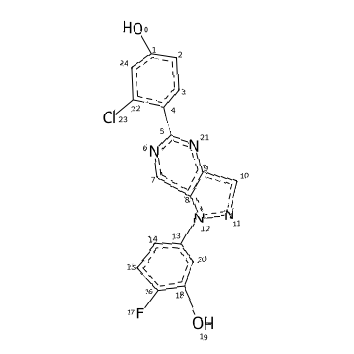 Oc1ccc(-c2ncc3c(cnn3-c3ccc(F)c(O)c3)n2)c(Cl)c1